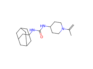 C=C(C)N1CCC(NC(=O)NC23CC4CC(CC(C4)C2)C3)CC1